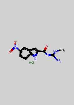 CNC(N)=NC(=O)c1cc2cc([N+](=O)[O-])ccc2[nH]1.Cl